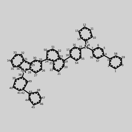 c1ccc(-c2ccc(N(c3ccccc3)c3ccc(-c4cccc5c(-c6ccc7c(c6)c6ccccc6n7-c6cccc(-c7ccccc7)c6)cccc45)cc3)cc2)cc1